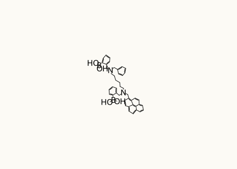 OB(O)c1ccccc1CN(CCCCCCN(Cc1ccccc1B(O)O)Cc1ccc2ccc3cccc4ccc1c2c34)Cc1ccccc1